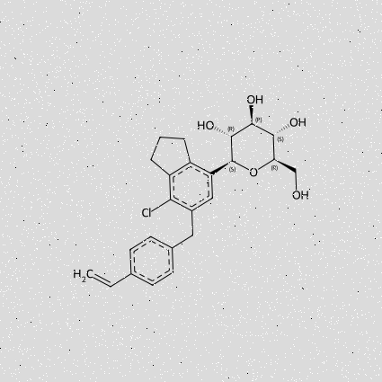 C=Cc1ccc(Cc2cc([C@@H]3O[C@H](CO)[C@@H](O)[C@H](O)[C@H]3O)c3c(c2Cl)CCC3)cc1